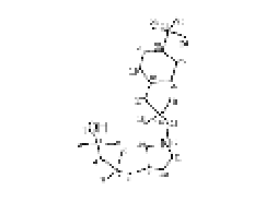 CC(C)(O)CC(C)(C)CC1CCN(CC(C)(C)CC2CCC(C(C)(C)C)CC2)C1